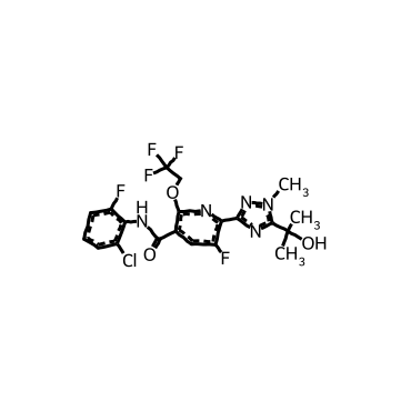 Cn1nc(-c2nc(OCC(F)(F)F)c(C(=O)Nc3c(F)cccc3Cl)cc2F)nc1C(C)(C)O